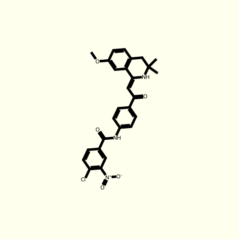 COc1ccc2c(c1)C(=CC(=O)c1ccc(NC(=O)c3ccc(Cl)c([N+](=O)[O-])c3)cc1)NC(C)(C)C2